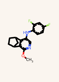 COc1ncc(Nc2ccc(F)cc2F)c2c1C1CCC2C1